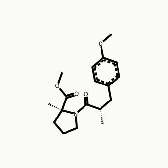 COC(=O)[C@]1(C)CCCN1C(=O)[C@@H](C)Cc1ccc(OC)cc1